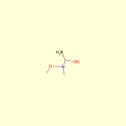 BC(O)N(C)OC